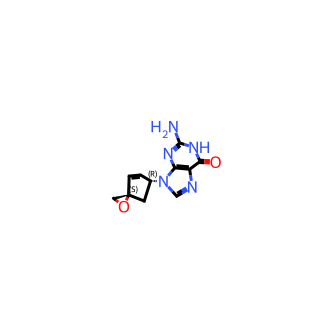 Nc1nc2c(ncn2[C@H]2C=C[C@]3(CO3)C2)c(=O)[nH]1